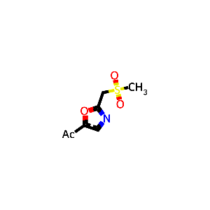 CC(=O)c1cnc(CS(C)(=O)=O)o1